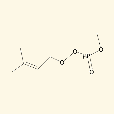 CO[PH](=O)OOCC=C(C)C